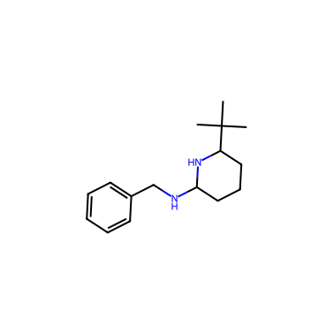 CC(C)(C)C1CCCC(NCc2ccccc2)N1